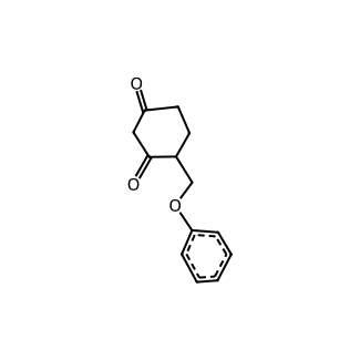 O=C1CCC(COc2ccccc2)C(=O)C1